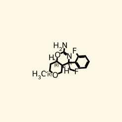 C[C@@H]1C[C@H]2OC(N)=N[C@](CF)(c3ccccc3F)[C@H]2CO1